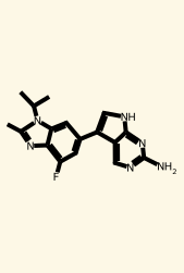 Cc1nc2c(F)cc(-c3c[nH]c4nc(N)ncc34)cc2n1C(C)C